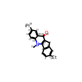 CCc1ccc2c(c1)Cc1c-2n(C)c2ccc(C(C)C)cc2c1=O